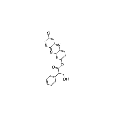 O=C(Oc1ccc2nc3cc(Cl)ccc3nc2c1)C(CO)c1ccccc1